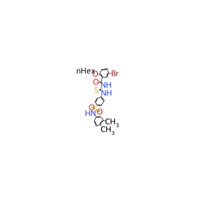 CCCCCCOc1ccc(Br)cc1C(=O)NC(=S)Nc1ccc(S(=O)(=O)Nc2ccc(C)c(C)c2)cc1